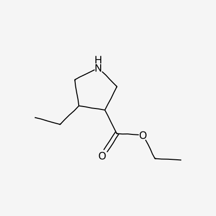 CCOC(=O)C1CNCC1CC